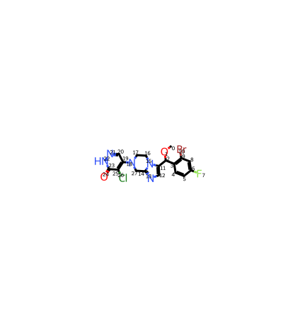 COC(c1ccc(F)cc1Br)c1cnc2n1CCN(c1cn[nH]c(=O)c1Cl)C2